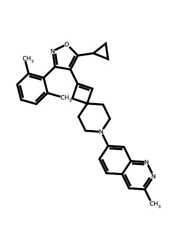 Cc1cc2ccc(N3CCC4(C=C(c5c(-c6c(C)cccc6C)noc5C5CC5)C4)CC3)cc2nn1